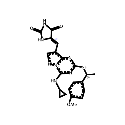 COc1ccc([C@H](C)Nc2nc(NC3CC3)n3ncc(/C=C4\NC(=O)NC4=O)c3n2)cc1